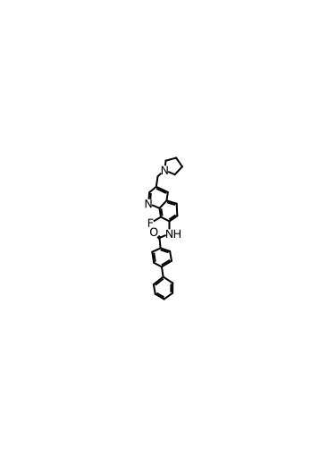 O=C(Nc1ccc2cc(CN3CCCC3)cnc2c1F)c1ccc(-c2ccccc2)cc1